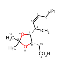 CC(C)C/C=C\C(C)[C@H]1OC(C)(C)O[C@H]1CC(=O)O